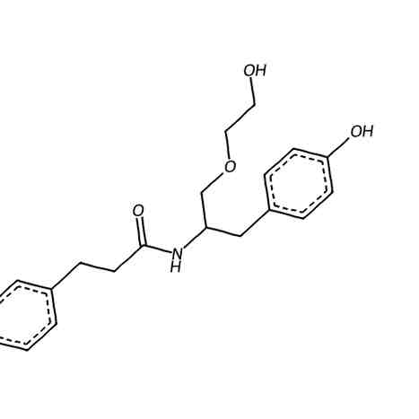 O=C(CCc1ccccc1)NC(COCCO)Cc1ccc(O)cc1